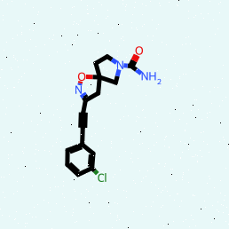 NC(=O)N1CCC2(CC(C#Cc3cccc(Cl)c3)=NO2)C1